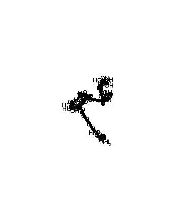 C=C1C[C@H]2[C@H](O)N(C(=O)OCc3ccc(O[C@@H]4O[C@H](C(=O)O)[C@@H](O)[C@H](O)[C@H]4O)cc3)c3cc(OCCCCCOc4cc5c(cc4OC)C(=O)N4CC(=C)C[C@H]4[C@H](O)N5C(=O)OCc4ccc(O[C@@H]5O[C@H](C(=O)O)[C@@H](O)[C@H](O)[C@H]5O)c(NC(=O)CCOCCOCCOCCOCCNC(=O)OCC[C@H](CN)N5C(=O)C=CC5=O)c4)c(OC)cc3C(=O)N2C1